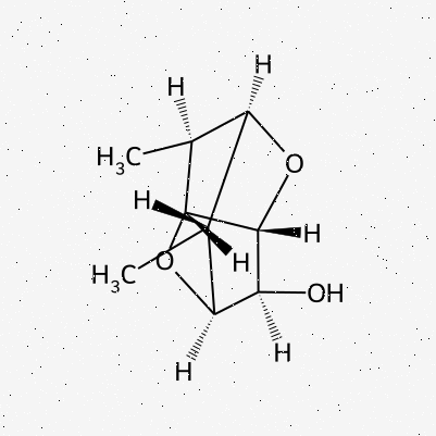 C[C@@H]1[C@@H]2O[C@@H]3[C@@H](O)[C@H]1O[C@@H]3[C@H]2C